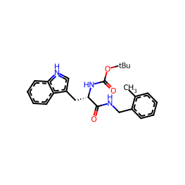 Cc1ccccc1CNC(=O)[C@H](Cc1c[nH]c2ccccc12)NC(=O)OC(C)(C)C